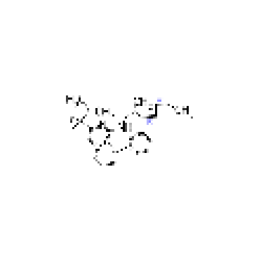 C=C(/C=C\C=C/C)CNc1nc(C2(C(=C)C)CC2)cc2cccc(-c3ccccc3)c12